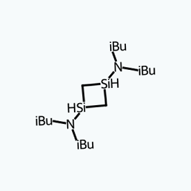 CCC(C)N(C(C)CC)[SiH]1C[SiH](N(C(C)CC)C(C)CC)C1